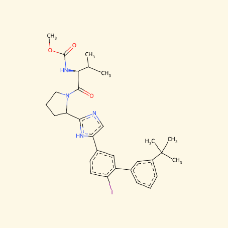 COC(=O)N[C@H](C(=O)N1CCCC1c1ncc(-c2ccc(I)c(-c3cccc(C(C)(C)C)c3)c2)[nH]1)C(C)C